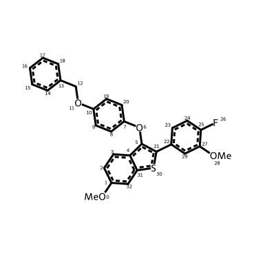 COc1ccc2c(Oc3ccc(OCc4ccccc4)cc3)c(-c3ccc(F)c(OC)c3)sc2c1